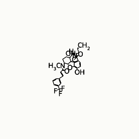 C=CCN1CC[C@]23c4c5ccc(O)c4OC2C(N(C)C(=O)/C=C/c2cccc(C(F)(F)F)c2)CC[C@@]3(O)[C@H]1C5=O